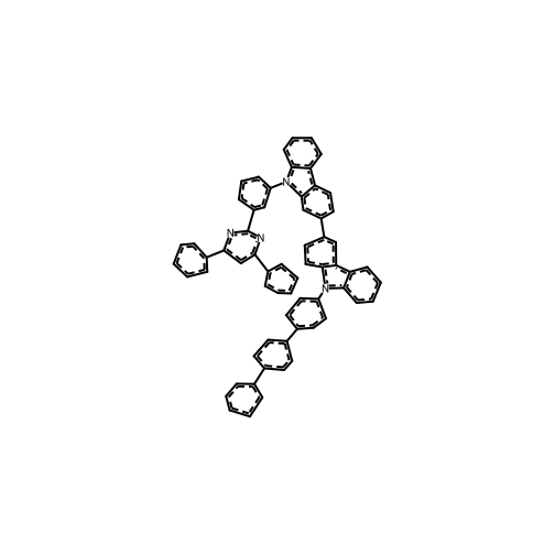 c1ccc(-c2ccc(-c3ccc(-n4c5ccccc5c5cc(-c6ccc7c8ccccc8n(-c8cccc(-c9nc(-c%10ccccc%10)cc(-c%10ccccc%10)n9)c8)c7c6)ccc54)cc3)cc2)cc1